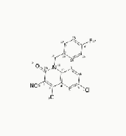 N#Cc1c(Cl)c2cc(Cl)ccc2n(Cc2ccc(F)cc2)c1=O